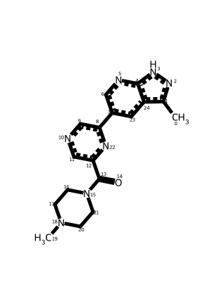 Cc1n[nH]c2ncc(-c3cncc(C(=O)N4CCN(C)CC4)n3)cc12